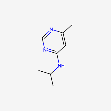 Cc1cc(NC(C)C)ncn1